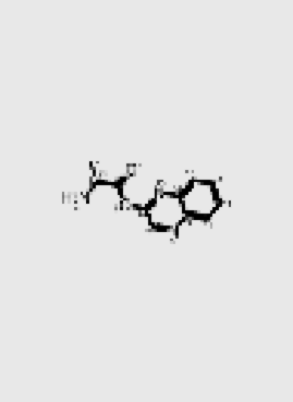 C[C@H](N)C(=O)Oc1cnc2ccccc2n1